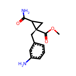 COC(=O)[C@@]1(Cc2cccc(N)c2)CC1C(N)=O